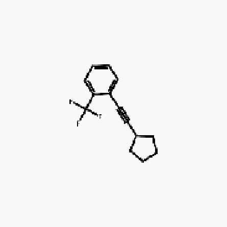 FC(F)(F)c1ccccc1C#CC1CCCC1